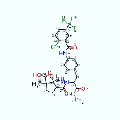 COC(=O)[C@H](Cc1ccc(NC(=O)c2cc(C(F)(F)F)ccc2Cl)cc1)NC(=O)C1CCC(C)(C(=O)O)C1(C)C